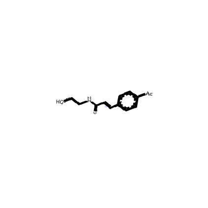 CC(=O)c1ccc(/C=C/C(=O)NCCO)cc1